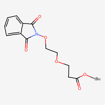 CC(C)(C)OC(=O)CCOCCON1C(=O)c2ccccc2C1=O